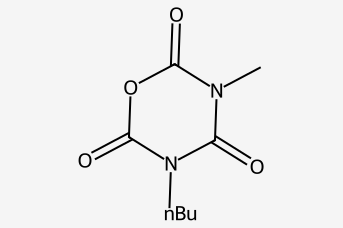 CCCCn1c(=O)oc(=O)n(C)c1=O